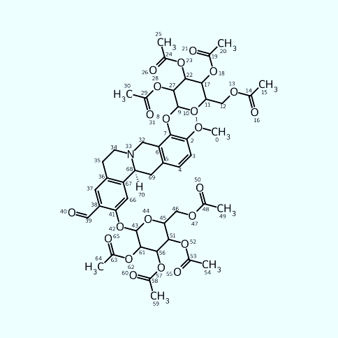 COc1ccc2c(c1OC1OC(COC(C)=O)C(OC(C)=O)C(OC(C)=O)C1OC(C)=O)CN1CCc3cc(C=O)c(OC4OC(COC(C)=O)C(OC(C)=O)C(OC(C)=O)C4OC(C)=O)cc3[C@@H]1C2